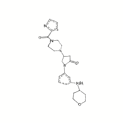 O=C(c1nccs1)N1CCN(C2CC(=O)N(c3cccc([AsH]C4CCOCC4)c3)C2)CC1